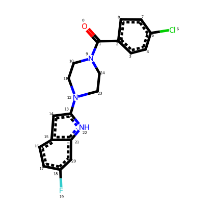 O=C(c1ccc(Cl)cc1)N1CCN(c2cc3ccc(F)cc3[nH]2)CC1